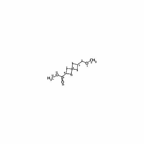 COCC1CC2(C1)CC(C(=O)OC)C2